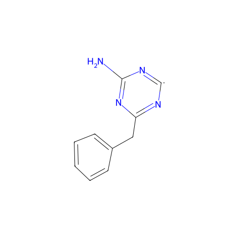 Nc1n[c]nc(Cc2ccccc2)n1